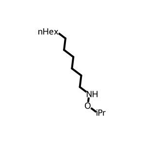 CCCCCCCCCCCCNOC(C)C